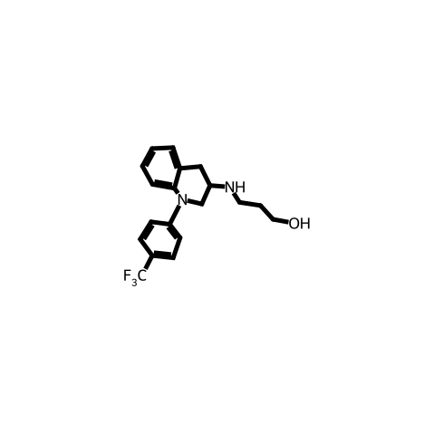 OCCCNC1Cc2ccccc2N(c2ccc(C(F)(F)F)cc2)C1